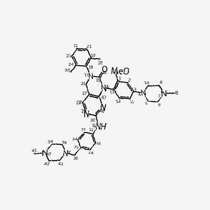 COc1cc(N2CCN(C)CC2)ccc1N1C(=O)N(c2c(C)cccc2C)Cc2cnc(Nc3ccc(CN4CCN(C)CC4)cc3)nc21